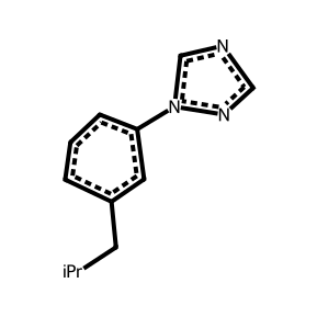 CC(C)Cc1cccc(-n2cncn2)c1